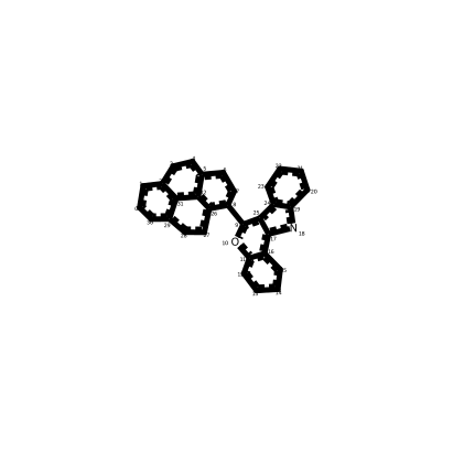 c1cc2ccc3ccc(-c4oc5ccccc5c5nc6ccccc6c4-5)c4ccc(c1)c2c34